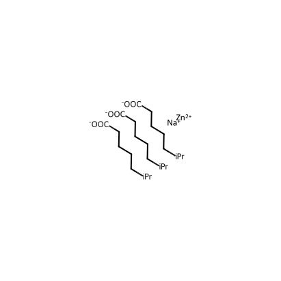 CC(C)CCCCC(=O)[O-].CC(C)CCCCC(=O)[O-].CC(C)CCCCC(=O)[O-].[Na+].[Zn+2]